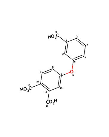 O=C(O)c1cccc(Oc2ccc(C(=O)O)c(C(=O)O)c2)c1